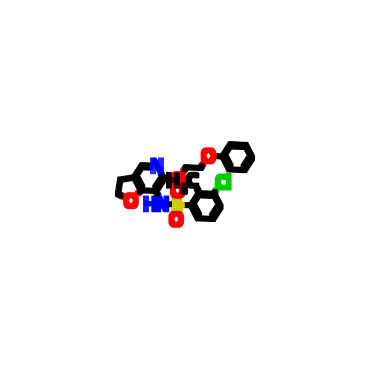 Cc1c(Cl)cccc1S(=O)(=O)Nc1c(OCCOc2ccccc2)ncc2c1OCC2